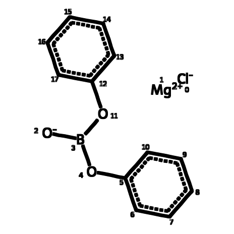 [Cl-].[Mg+2].[O-]B(Oc1ccccc1)Oc1ccccc1